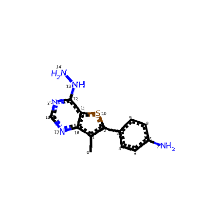 Cc1c(-c2ccc(N)cc2)sc2c(NN)ncnc12